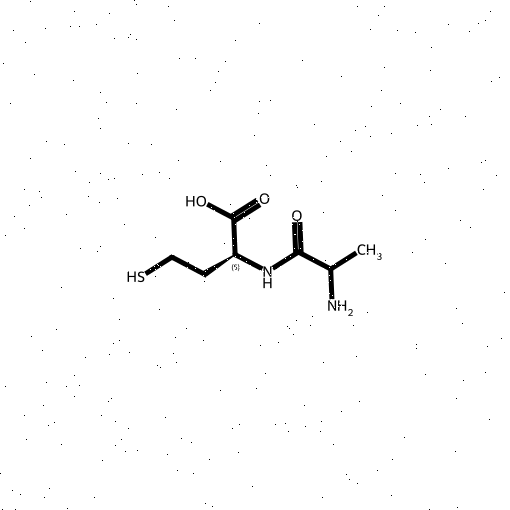 CC(N)C(=O)N[C@@H](CCS)C(=O)O